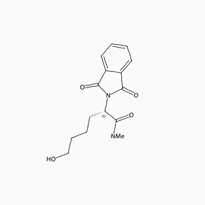 CNC(=O)[C@H](CCCCO)N1C(=O)c2ccccc2C1=O